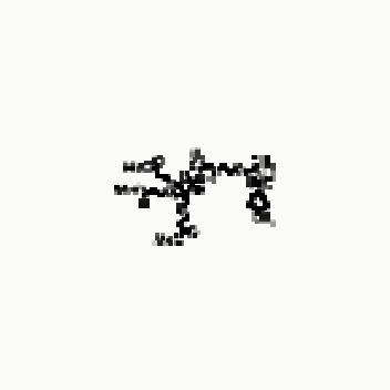 COC(=O)CCOCC(COCCC(=O)OC)(COCCC(=O)OC)NC(=O)NC(C)COCCOCC(C)NS(=O)(=O)c1ccc(C)cc1